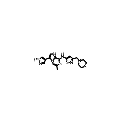 Cc1cn2c(-c3cn[nH]c3)cnc2c(Nc2cc(CN3CCSCC3)ns2)n1